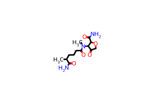 CC(CC[CH]C(=O)N(C)C1C(=O)COC1C(N)=O)C(N)=O